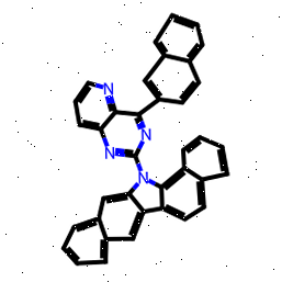 c1ccc2cc(-c3nc(-n4c5cc6ccccc6cc5c5ccc6ccccc6c54)nc4cccnc34)ccc2c1